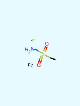 CS(N)(=O)=O.[F].[Fe]